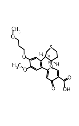 COCCCOc1cc2c(cc1OC)-c1cc(=O)c(C(=O)O)cn1[C@@H]1CCSC[C@H]21